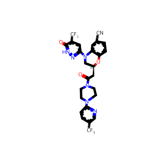 N#Cc1ccc2c(c1)N(c1cc(C(F)(F)F)c(=O)[nH]n1)C[C@H](CC(=O)N1CCN(c3ccc(C(F)(F)F)cn3)CC1)O2